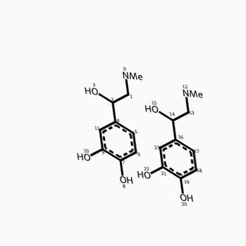 CNCC(O)c1ccc(O)c(O)c1.CNCC(O)c1ccc(O)c(O)c1